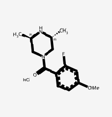 COc1ccc(C(=O)N2C[C@@H](C)N[C@H](C)C2)c(F)c1.Cl